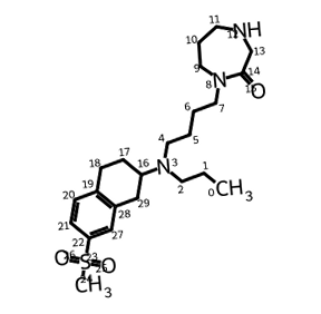 CCCN(CCCCN1CCCNCC1=O)C1CCc2ccc(S(C)(=O)=O)cc2C1